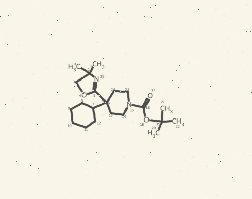 CC1(C)COC(C2(C3CCCCC3)CCN(C(=O)OC(C)(C)C)CC2)=N1